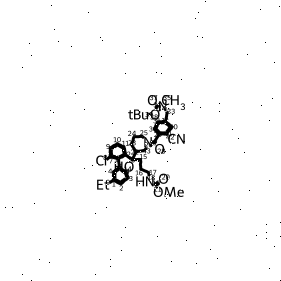 CCc1cccc(-c2c(Cl)cccc2C(O)(CCCNC(=O)OC)C2CCCN(C(=O)c3ccc(CN(C)C(=O)OC(C)(C)C)cc3C#N)C2)c1